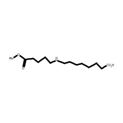 CC(C)(C)OC(=O)CCCCNCCCCCCCC(=O)O